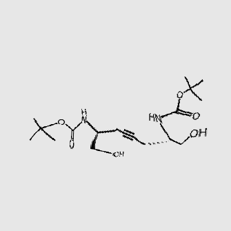 CC(C)(C)OC(=O)N[C@H](CO)CC#CC[C@@H](CO)NC(=O)OC(C)(C)C